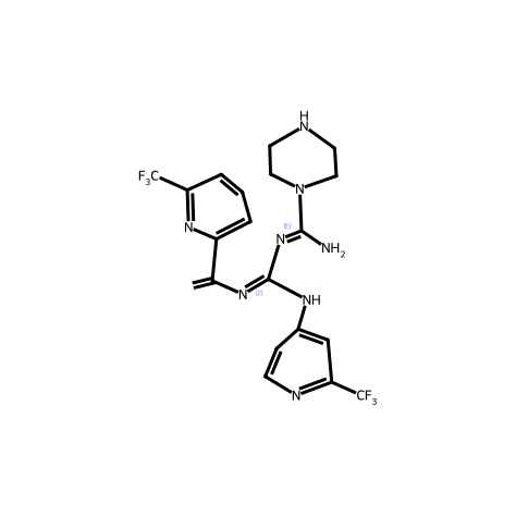 C=C(/N=C(\N=C(/N)N1CCNCC1)Nc1ccnc(C(F)(F)F)c1)c1cccc(C(F)(F)F)n1